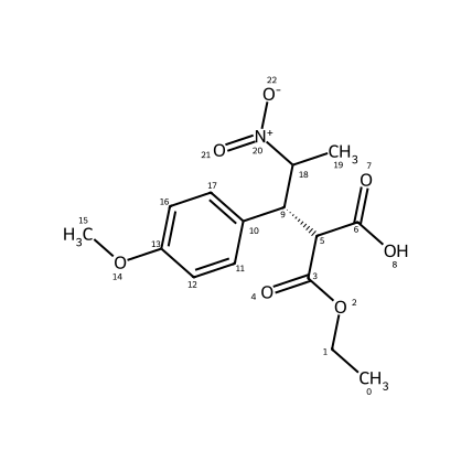 CCOC(=O)C(C(=O)O)[C@H](c1ccc(OC)cc1)C(C)[N+](=O)[O-]